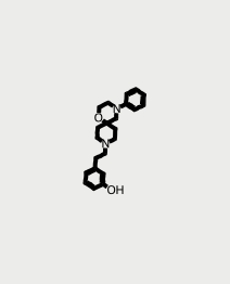 Oc1cccc(CCN2CCC3(CC2)CN(c2ccccc2)CCO3)c1